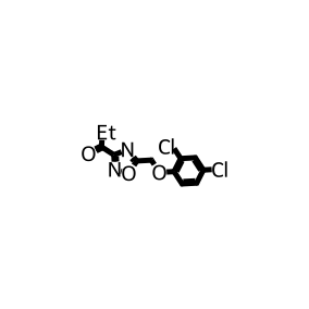 CCC(=O)c1noc(COc2ccc(Cl)cc2Cl)n1